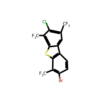 FC(F)(F)c1cc2c(sc3c(C(F)(F)F)c(Br)ccc32)c(C(F)(F)F)c1Cl